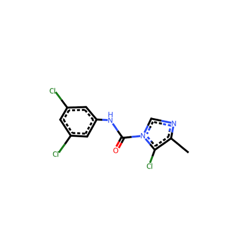 Cc1ncn(C(=O)Nc2cc(Cl)cc(Cl)c2)c1Cl